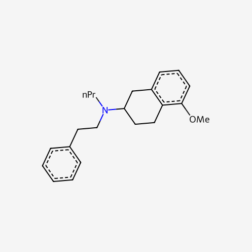 CCCN(CCc1ccccc1)C1CCc2c(cccc2OC)C1